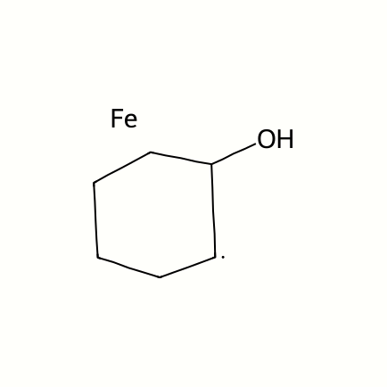 OC1[CH]CCCC1.[Fe]